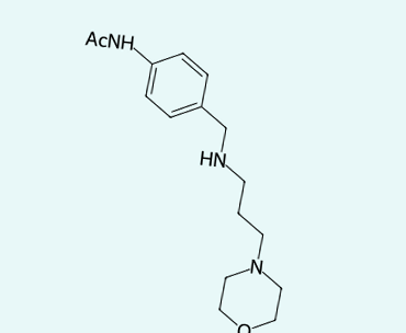 CC(=O)Nc1ccc(CNCCCN2CCOCC2)cc1